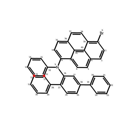 Brc1ccc2ccc3c(N(c4ccccc4)c4cc(-c5ccccc5)ccc4-c4ccccc4)ccc4ccc1c2c43